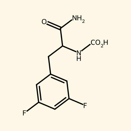 NC(=O)C(Cc1cc(F)cc(F)c1)NC(=O)O